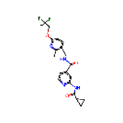 Cc1nc(OCC(F)(F)F)ccc1CNC(=O)c1ccnc(NC(=O)C2CC2)c1